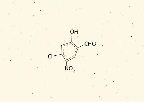 O=Cc1cc([N+](=O)[O-])c(Cl)cc1O